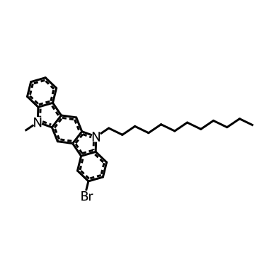 CCCCCCCCCCCCn1c2ccc(Br)cc2c2cc3c(cc21)c1ccccc1n3C